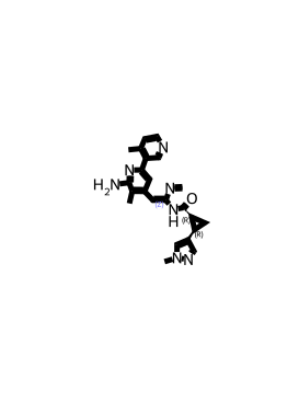 C=N/C(=C\c1cc(-c2cnccc2C)nc(N)c1C)NC(=O)[C@@H]1C[C@H]1c1cnn(C)c1